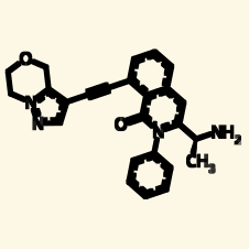 C[C@H](N)c1cc2cccc(C#Cc3cnn4c3COCC4)c2c(=O)n1-c1ccccc1